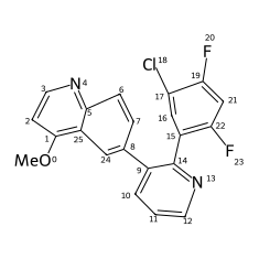 COc1ccnc2ccc(-c3cccnc3-c3cc(Cl)c(F)cc3F)cc12